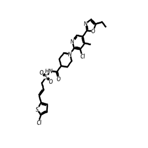 CCc1cnc(-c2cnc(N3CCC(C(=O)NS(=O)(=O)CC=Cc4ccc(Cl)s4)CC3)c(Cl)c2C)o1